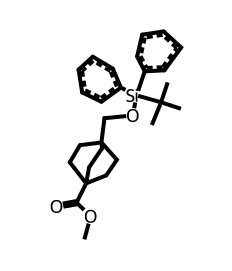 COC(=O)C12CCC(CO[Si](c3ccccc3)(c3ccccc3)C(C)(C)C)(CC1)CC2